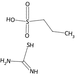 CCCS(=O)(=O)O.N=C(N)S